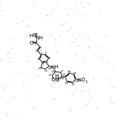 O=C(/C=C/c1ccc2c(c1)CCC2NC(CO)CC(O)c1ccc([N+](=O)[O-])cc1)NO